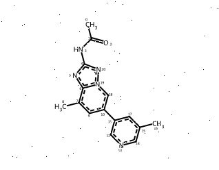 CC(=O)Nc1nc2c(C)cc(-c3cncc(C)c3)cn2n1